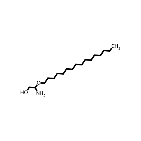 CCCCCCCCCCCCCCCCOC(N)CO